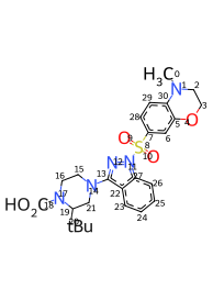 CN1CCOc2cc(S(=O)(=O)n3nc(N4CCN(C(=O)O)C(C(C)(C)C)C4)c4ccccc43)ccc21